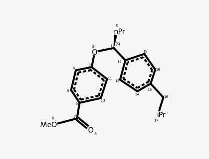 CCC[C@H](Oc1ccc(C(=O)OC)cc1)c1ccc(CC(C)C)cc1